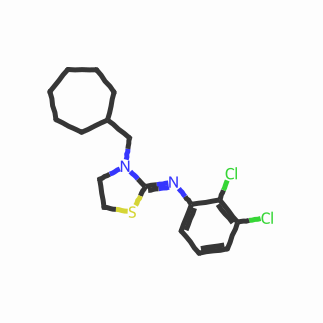 Clc1cccc(N=C2SCCN2CC2CCCCCC2)c1Cl